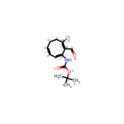 CC(C)(C)OC(=O)NC1=C/C=C\CC/C(Cl)=C\1C=O